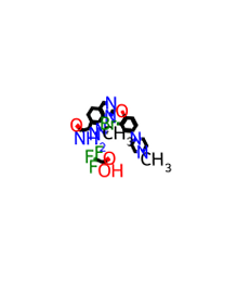 CN1CCN(c2ccc(Oc3ncc4c(n3)-c3c(c(C(N)=O)nn3C)CC4)c(Br)c2)CC1.O=C(O)C(F)(F)F